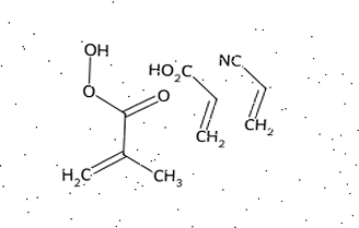 C=C(C)C(=O)OO.C=CC#N.C=CC(=O)O